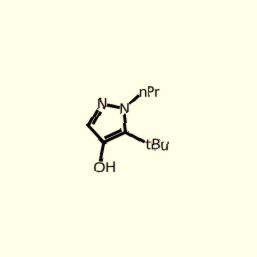 CCCn1ncc(O)c1C(C)(C)C